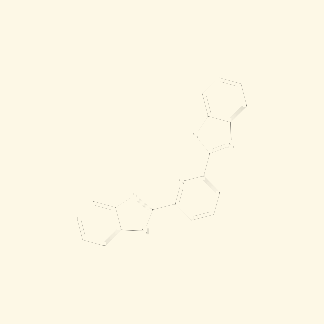 c1cc(-c2nc3ccccc3[nH]2)nc(-c2nc3ccccc3[nH]2)c1